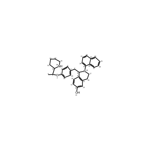 CC(Oc1ccc(CC2c3ccc(O)cc3CCN2c2cccc3ccccc23)cc1)C1CCCCN1